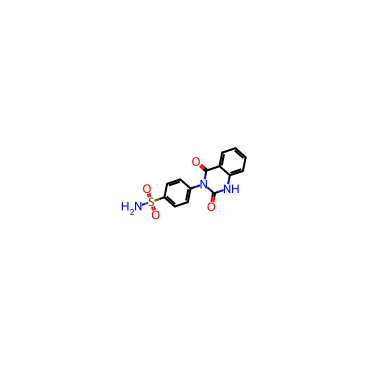 NS(=O)(=O)c1ccc(-n2c(=O)[nH]c3ccccc3c2=O)cc1